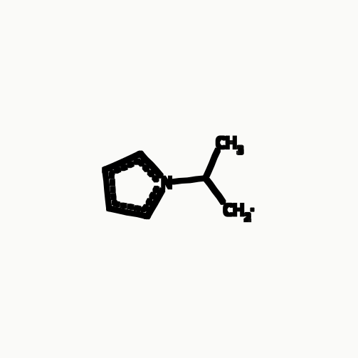 [CH2]C(C)n1cccc1